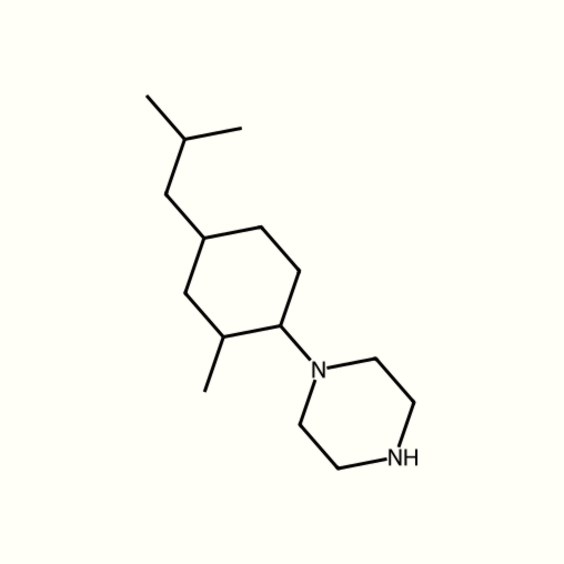 CC(C)CC1CCC(N2CCNCC2)C(C)C1